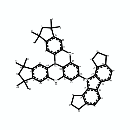 CC1(C)CC(C)(C)c2cc3c(cc21)Oc1cc(-n2c4c5c(ccc4c4ccc6c(c42)CCC6)CCC5)cc2c1B3c1cc3c(cc1O2)C(C)(C)CC3(C)C